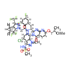 CO[C@H](C)COc1ccc2c(=O)n(-c3ccc(Cl)c4c(NS(C)(=O)=O)nn(C)c34)c([C@H](Cc3cc(F)cc(F)c3)NC(=O)Cn3nc(C(F)F)c4c3C(F)(F)[C@@H]3C[C@H]43)nc2n1